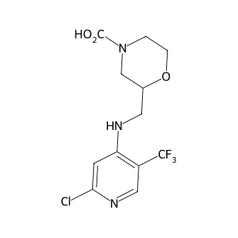 O=C(O)N1CCOC(CNc2cc(Cl)ncc2C(F)(F)F)C1